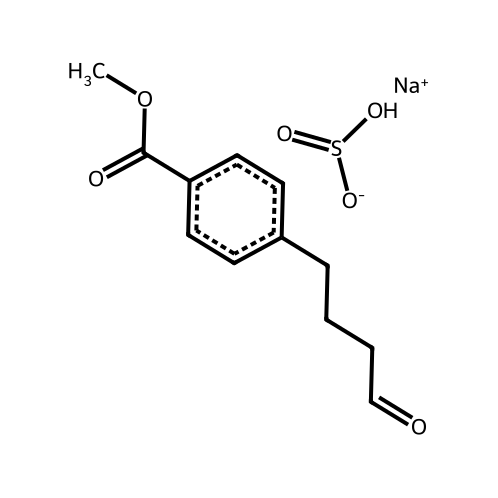 COC(=O)c1ccc(CCCC=O)cc1.O=S([O-])O.[Na+]